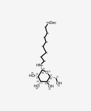 CCCCCCCCCCCCCCCCCCN[C@@H]1O[C@H](CO)[C@@H](O)[C@H](O)[C@@H]1O